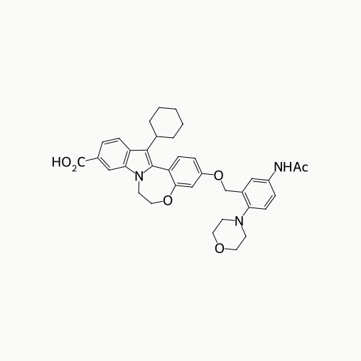 CC(=O)Nc1ccc(N2CCOCC2)c(COc2ccc3c(c2)OCCn2c-3c(C3CCCCC3)c3ccc(C(=O)O)cc32)c1